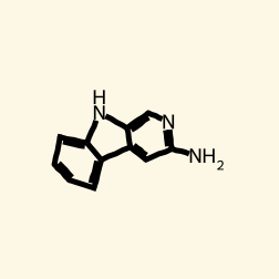 Nc1cc2c(cn1)[nH]c1ccccc12